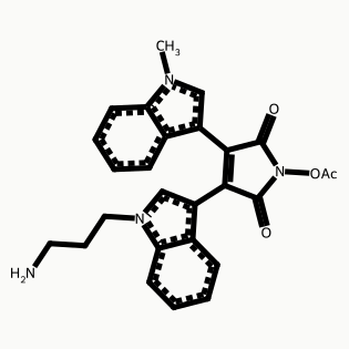 CC(=O)ON1C(=O)C(c2cn(C)c3ccccc23)=C(c2cn(CCCN)c3ccccc23)C1=O